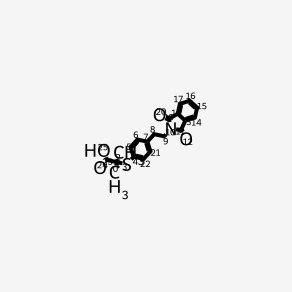 CC(C)(Sc1ccc(CCN2C(=O)c3ccccc3C2=O)cc1)C(=O)O